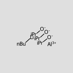 CC(C)[O-].CC(C)[O-].CC(C)[O-].[Al+3].[Li][CH2]CCC